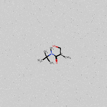 C[C@H](CO)C(=O)N(C)C(C)(C)C